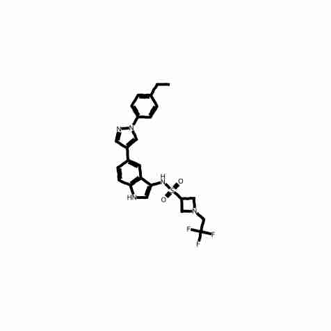 CCc1ccc(-n2cc(-c3ccc4[nH]cc(NS(=O)(=O)C5CN(CC(F)(F)F)C5)c4c3)cn2)cc1